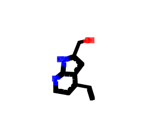 C=Cc1ccnc2[nH]c(CO)cc12